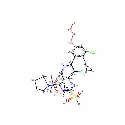 COCOc1cc(Cl)c(C2CC2)c(-c2ncc3c(N4CC5CCC(C4)N5C(=O)OC(C)(C)C)nc(S(C)(=O)=O)nc3c2F)c1